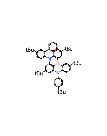 CC(C)(C)c1ccc(N2c3ccc(C(C)(C)C)cc3B3c4cc(C(C)(C)C)ccc4N(c4ccc(C(C)(C)C)cc4-c4ccccc4)c4cc(C(C)(C)C)cc2c43)cc1